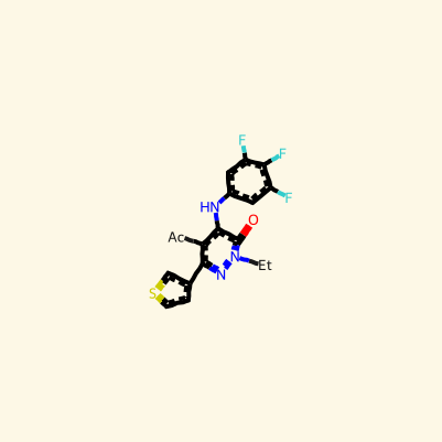 CCn1nc(-c2ccsc2)c(C(C)=O)c(Nc2cc(F)c(F)c(F)c2)c1=O